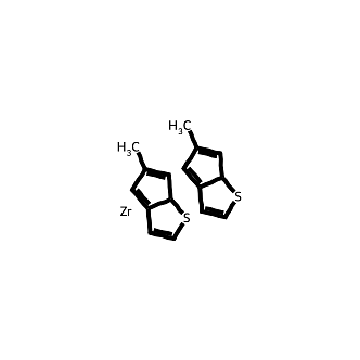 CC1=CC2SC=CC2=C1.CC1=CC2SC=CC2=C1.[Zr]